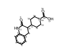 O=C1Nc2ccccc2CC1C1CCN(C(=O)O)CC1